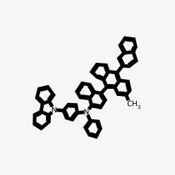 Cc1ccc2c(-c3ccc4ccccc4c3)c3ccccc3c(-c3ccc(N(c4ccccc4)c4ccc(-n5c6ccccc6c6ccccc65)cc4)c4ccccc34)c2c1